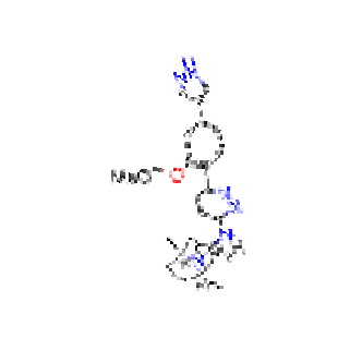 COCOc1cc(-c2cn[nH]c2)ccc1-c1ccc(N(C)[C@H]2C[C@]3(C)CC[C@](C)(C2)N3C(=O)O)nn1